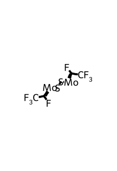 F[C](=[Mo][S][S][Mo]=[C](F)C(F)(F)F)C(F)(F)F